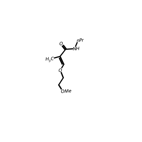 CCCNC(=O)C(C)=COCCOC